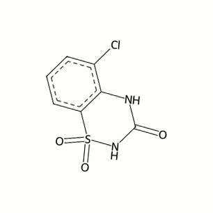 O=C1Nc2c(Cl)cccc2S(=O)(=O)N1